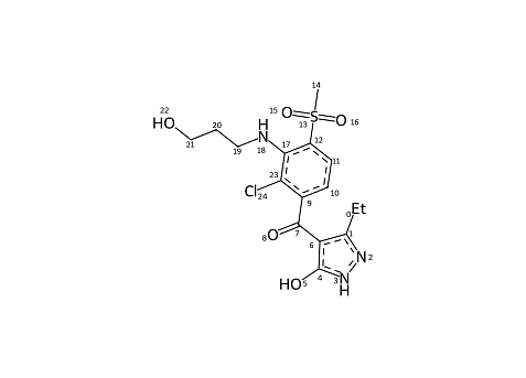 CCc1n[nH]c(O)c1C(=O)c1ccc(S(C)(=O)=O)c(NCCCO)c1Cl